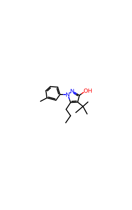 CCCc1c(C(C)(C)C)c(O)nn1-c1cccc(C)c1